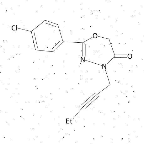 CCC#CCN1N=C(c2ccc(Cl)cc2)OCC1=O